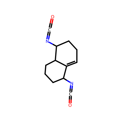 O=C=NC1CCCC2C1=CCCC2N=C=O